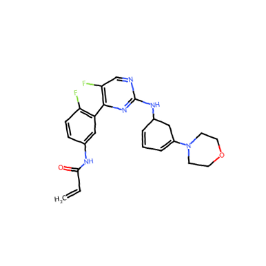 C=CC(=O)Nc1ccc(F)c(-c2nc(NC3C=CC=C(N4CCOCC4)C3)ncc2F)c1